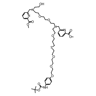 COC(=O)c1cccc(CN(CCO)CCOCCOCCN(CCOCCCSCCOCCOCCOc2ccc(NC(=O)OC(C)(C)C)cc2)Cc2cccc(C(=O)OC)n2)n1